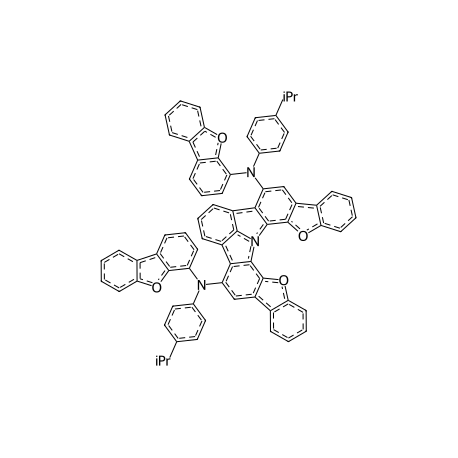 CC(C)c1ccc(N(c2cccc3c2oc2ccccc23)c2cc3c4ccccc4oc3c3c2c2cccc4c5c(N(c6ccc(C(C)C)cc6)c6cccc7c6oc6ccccc67)cc6c7ccccc7oc6c5n3c24)cc1